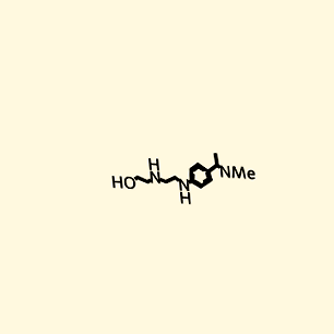 CNC(C)c1ccc(NCCNCCO)cc1